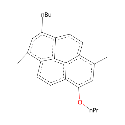 CCCCc1cc(C)c2ccc3c(OCCC)cc(C)c4ccc1c2c43